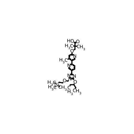 CCC(CC)Oc1nc(-c2ccc(-c3cnc(OCC(C)(C)C(=O)O)cc3C)nc2)nn1COCC[Si](C)(C)C